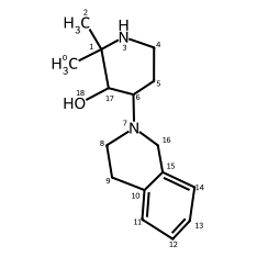 CC1(C)NCCC(N2CCc3ccccc3C2)C1O